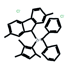 CC1=CC(C)[C]([Zr+2](=[C](c2ccccc2)c2ccccc2)[CH]2c3cc(C)ccc3-c3ccc(C)cc32)=C1C.[Cl-].[Cl-]